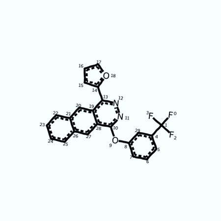 FC(F)(F)c1cccc(Oc2nnc(-c3ccco3)c3cc4ccccc4cc23)c1